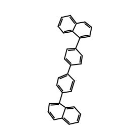 [c]1cc(-c2cccc3ccccc23)ccc1-c1ccc(-c2cccc3ccccc23)cc1